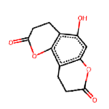 O=C1CCc2c(cc(O)c3c2OC(=O)CC3)O1